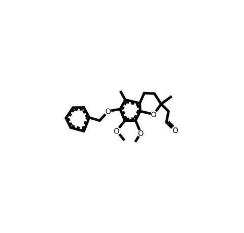 COc1c(OCc2ccccc2)c(C)c2c(c1OC)OC(C)(CC=O)CC2